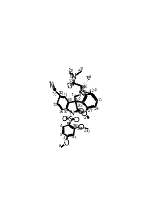 COc1ccc(S(=O)(=O)N2C(=O)C(CN[C@@H](C)C(=O)N(C)C)(c3ccccc3OC)c3cc(C#N)ccc32)c(OC)c1